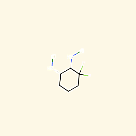 FC1(F)CCC[C@H](NCl)[C@H]1NCl